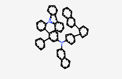 c1ccc(-c2cc(N(c3ccc(-c4ccccc4-c4ccc5ccccc5c4)cc3)c3ccc4ccccc4c3)ccc2-c2ccccc2-n2c3ccccc3c3ccccc32)cc1